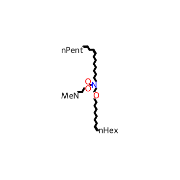 CCCCC/C=C\C/C=C\CCCCCCCCN(CCOCCCCCCCC/C=C\CCCCCC)C(=O)OCCCNC